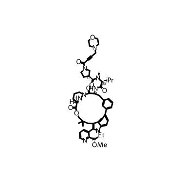 CCn1c(-c2cccnc2[C@H](C)OC)c2c3cc(ccc31)-c1cccc(c1)C[C@H](NC(=O)[C@H](C(C)C)N(C)C(=O)[C@H]1CCN(C(=O)C#CCN3CCOCC3)C1)C(=O)N1CCC[C@H](N1)C(=O)OCC(C)(C)C2